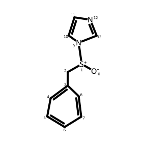 [O-][S+](Cc1ccccc1)n1ccnc1